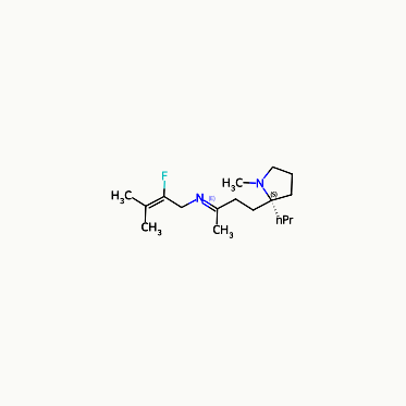 CCC[C@@]1(CC/C(C)=N/CC(F)=C(C)C)CCCN1C